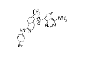 Cc1ccc2c(Nc3ccc(C(C)C)cc3)nccc2c1NC(=O)c1csc2c(N)ncnc12